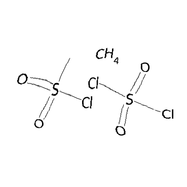 C.CS(=O)(=O)Cl.O=S(=O)(Cl)Cl